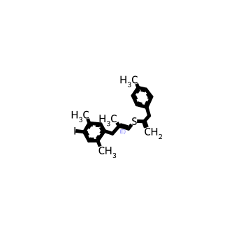 C=C(Cc1ccc(C)cc1)S/C=C(\C)Cc1cc(C)c(I)cc1C